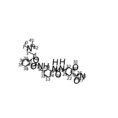 CCN(CCC(OC(=O)NCc1cccc(NC(=O)Nc2ccc(-c3cnco3)c(OC)c2)c1)c1ccccc1)C(C)C